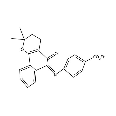 [CH2]COC(=O)c1ccc(N=C2C(=O)C3=C(OC(C)(C)CC3)c3ccccc32)cc1